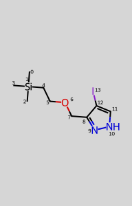 C[Si](C)(C)CCOCc1n[nH]cc1I